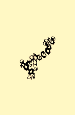 COc1cc(-c2cn(C)c(=O)c3cc(C(=O)NC4CCN(C5CCN(c6ccc7c(c6)C(=O)N(C6CCC(=O)N(C)C6=O)C7)CC5)CC4(F)F)sc23)cc(OC)c1CN(C)C